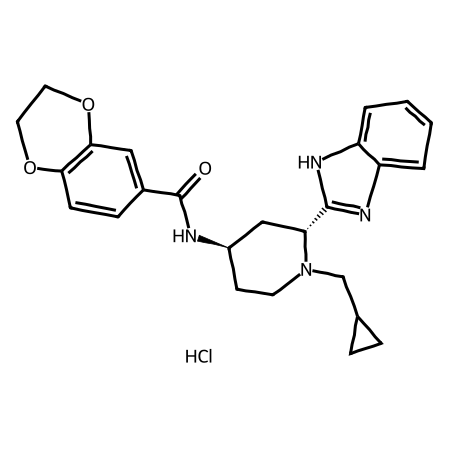 Cl.O=C(N[C@@H]1CCN(CC2CC2)[C@@H](c2nc3ccccc3[nH]2)C1)c1ccc2c(c1)OCCO2